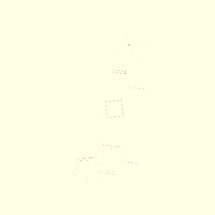 CN(C(=O)OC(C)(C)C)C1CC(Oc2cc(Br)cn3cncc23)C1